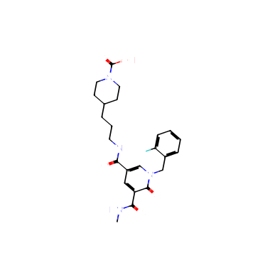 CNC(=O)c1cc(C(=O)NCCCC2CCN(C(=O)O)CC2)cn(Cc2ccccc2F)c1=O